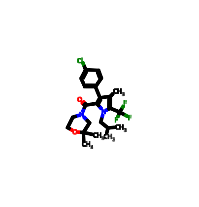 Cc1c(-c2ccc(Cl)cc2)c(C(=O)N2CCOC(C)(C)C2)n(CC(C)C)c1C(F)(F)F